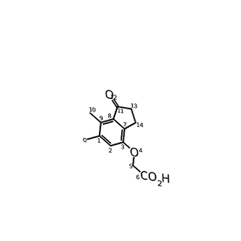 Cc1cc(OCC(=O)O)c2c(c1C)C(=O)CC2